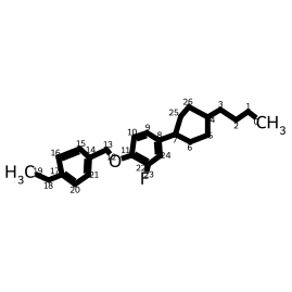 CCCCC1CCC(c2ccc(OCc3ccc(CC)cc3)c(F)c2)CC1